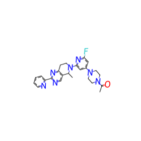 CC(=O)N1CCN(c2cc(F)nc(N3CCc4nc(-c5ccccn5)ncc4C3C)c2)CC1